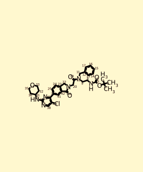 CC(C)(C)OC(=O)NCCN(Cc1ccccc1)C(=O)CN1Cc2ccc(-c3nc(NC4CCOCC4)ncc3Cl)cc2C1=O